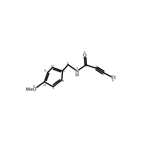 CCC#CC(=O)NCc1ccc(OC)cc1